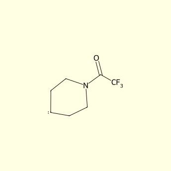 O=C(N1CC[C]CC1)C(F)(F)F